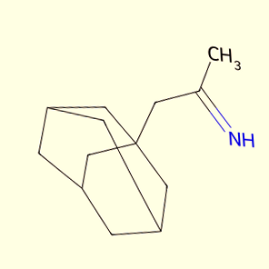 CC(=N)CC12CC3CC(CC(C3)C1)C2